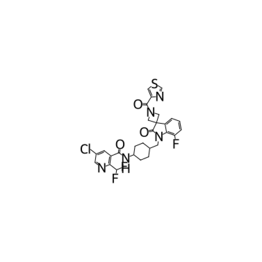 O=C(NC1CCC(CN2C(=O)C3(CN(C(=O)c4cscn4)C3)c3cccc(F)c32)CC1)c1cc(Cl)cnc1C(F)F